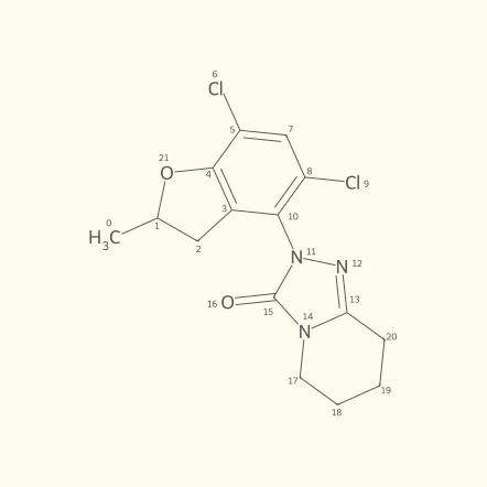 CC1Cc2c(c(Cl)cc(Cl)c2-n2nc3n(c2=O)CCCC3)O1